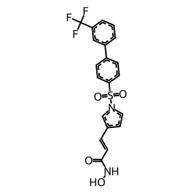 O=C(/C=C/c1ccn(S(=O)(=O)c2ccc(-c3cccc(C(F)(F)F)c3)cc2)c1)NO